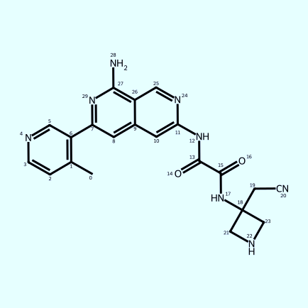 Cc1ccncc1-c1cc2cc(NC(=O)C(=O)NC3(CC#N)CNC3)ncc2c(N)n1